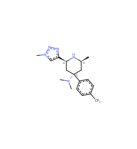 C[C@H]1C[C@](c2ccc(C(F)(F)F)cc2)(N(C)C)C[C@@H](c2cn(C)nn2)N1